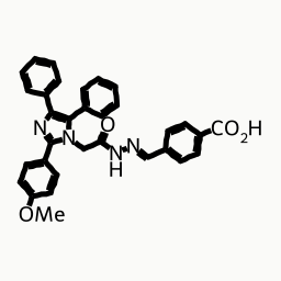 COc1ccc(-c2nc(-c3ccccc3)c(-c3ccccc3)n2CC(=O)NN=Cc2ccc(C(=O)O)cc2)cc1